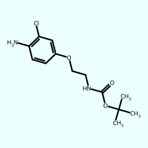 CC(C)(C)OC(=O)NCCOc1ccc(N)c(Cl)c1